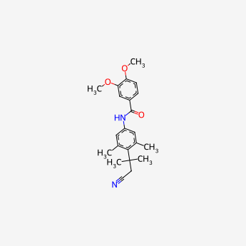 COc1ccc(C(=O)Nc2cc(C)c(C(C)(C)CC#N)c(C)c2)cc1OC